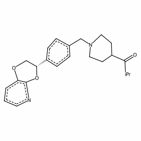 CC(C)C(=O)C1CCN(Cc2ccc([C@H]3COc4cccnc4O3)cc2)CC1